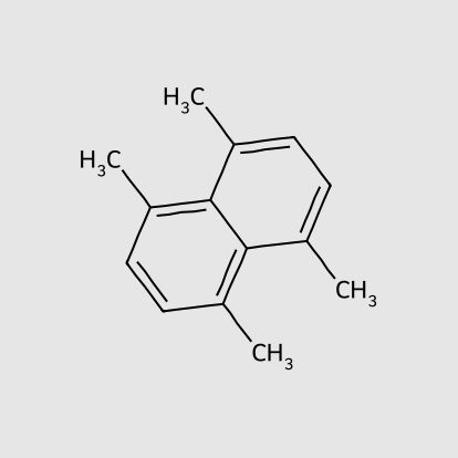 Cc1ccc(C)c2c(C)ccc(C)c12